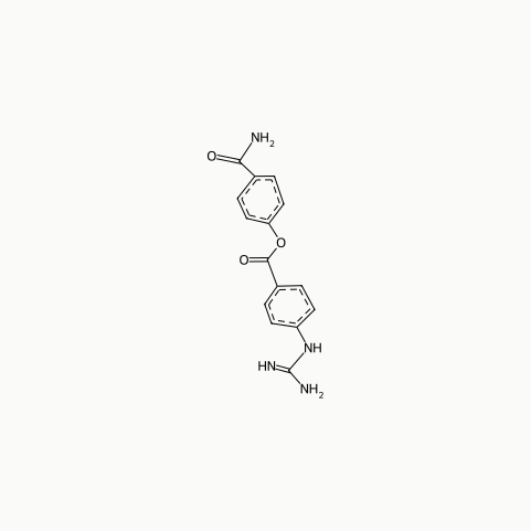 N=C(N)Nc1ccc(C(=O)Oc2ccc(C(N)=O)cc2)cc1